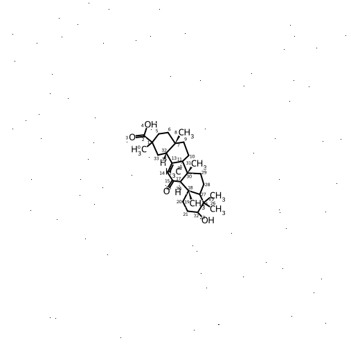 CC1(C(=O)O)CC[C@]2(C)CC[C@]3(C)C(=CC(=O)[C@@H]4[C@@]5(C)CCC(O)C(C)(C)C5CC[C@]43C)[C@@H]2C1